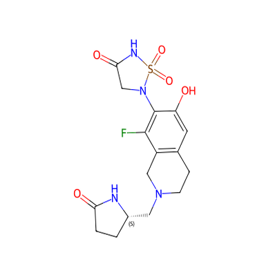 O=C1CC[C@@H](CN2CCc3cc(O)c(N4CC(=O)NS4(=O)=O)c(F)c3C2)N1